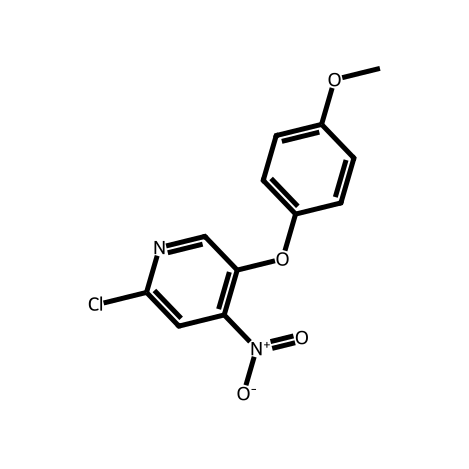 COc1ccc(Oc2cnc(Cl)cc2[N+](=O)[O-])cc1